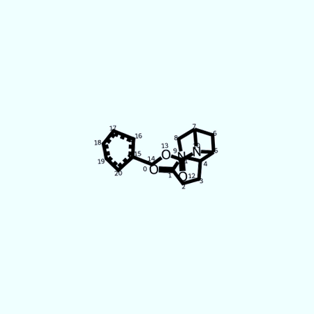 O=C1CCC2C3CC(CN12)N3C(=O)OCc1ccccc1